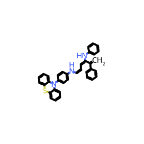 C=C(/C(=C\C=C/Nc1ccc(N2c3ccccc3Sc3ccccc32)cc1)Nc1ccccc1)c1ccccc1